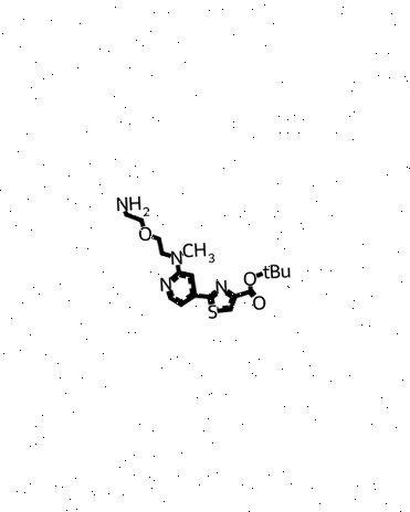 CN(CCOCCN)c1cc(-c2nc(C(=O)OC(C)(C)C)cs2)ccn1